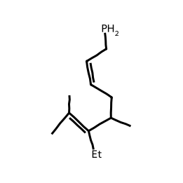 CCC(=C(C)C)C(C)C/C=C\CP